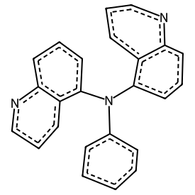 c1ccc(N(c2cccc3ncccc23)c2cccc3ncccc23)cc1